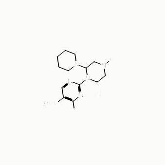 CSc1cnc(N2CCN(C)CC2N2CCCCC2)nc1Cl.Cl